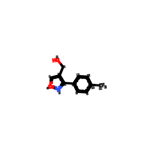 OCc1conc1-c1ccc(C(F)(F)F)cc1